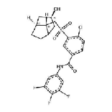 O=C(Nc1cc(F)c(F)c(F)c1)c1ccc(Cl)c(S(=O)(=O)C[C@@H]2C3CC[C@H]2C[C@@H](O)C3)c1